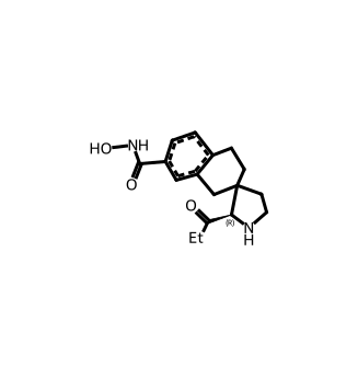 CCC(=O)[C@@H]1NCCC12CCc1ccc(C(=O)NO)cc1C2